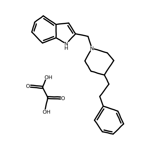 O=C(O)C(=O)O.c1ccc(CCC2CCN(Cc3cc4ccccc4[nH]3)CC2)cc1